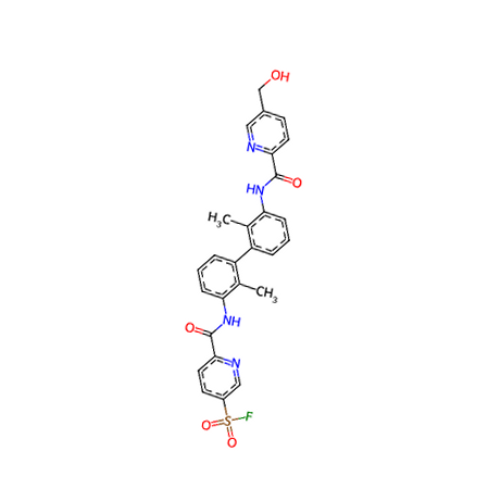 Cc1c(NC(=O)c2ccc(CO)cn2)cccc1-c1cccc(NC(=O)c2ccc(S(=O)(=O)F)cn2)c1C